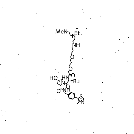 CCN(CCNC)CCNCCCOCCCOCC(=O)N[C@H](C(=O)N1C[C@H](O)C[C@H]1C(=O)NCc1ccc(-c2scnc2C)cc1)C(C)(C)C